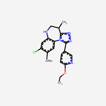 COc1cc2c(cc1Cl)NCC(C)c1nnc(-c3ccc(OCC(F)(F)F)nc3)n1-2